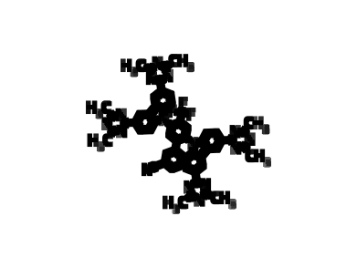 Cc1nc(C)nc(-c2ccc3c(c2)c2cc(-c4nc(C)nc(C)n4)ccc2n3-c2cc(C(F)(F)F)c(-n3c4ccc(-c5nc(C)nc(C)n5)cc4c4cc(-c5nc(C)nc(C)n5)ccc43)cc2-c2cccc(C#N)c2)n1